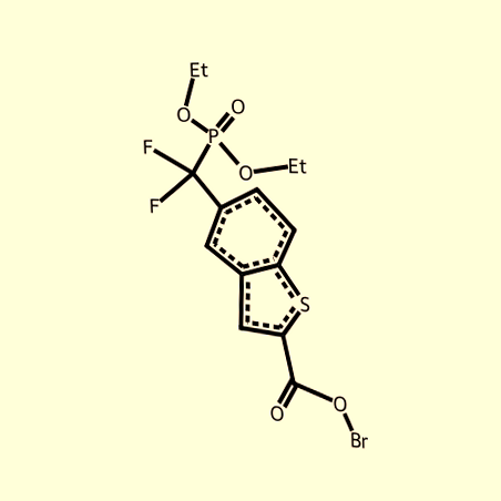 CCOP(=O)(OCC)C(F)(F)c1ccc2sc(C(=O)OBr)cc2c1